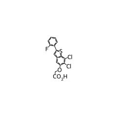 O=C(O)COc1cc2cc(-c3ccccc3F)sc2c(Cl)c1Cl